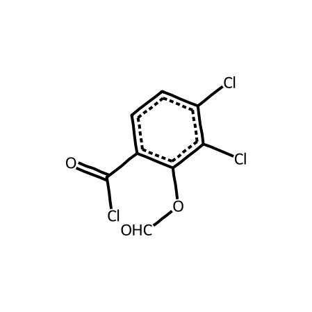 O=COc1c(C(=O)Cl)ccc(Cl)c1Cl